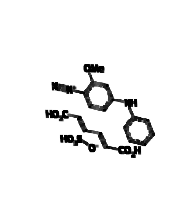 COc1cc(Nc2ccccc2)ccc1[N+]#N.O=C(O)C=CC=CC(=O)O.O=S(=O)([O-])O